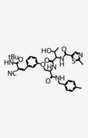 Cc1ccc(CNC(=O)C(COc2cccc(C=C(C#N)C(=O)NC(C)(C)C)c2)NC(=O)C(NC(=O)c2cnc(C)s2)C(C)O)cc1